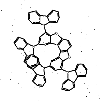 c1ccc2c(c1)c1ccccc1n2-c1cc(-n2c3ccccc3c3ccccc32)c2oc3ccc4oc5c(-n6c7ccccc7c7ccccc76)cc(-n6c7ccccc7c7ccccc76)cc5c4c3c2c1